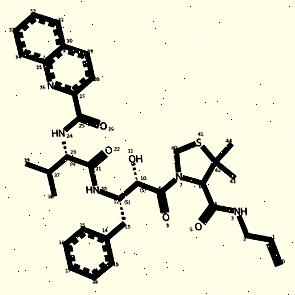 C=CCNC(=O)C1N(C(=O)[C@@H](O)[C@H](Cc2ccccc2)NC(=O)[C@@H](NC(=O)c2ccc3ccccc3n2)C(C)C)CSC1(C)C